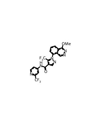 COc1nncc2c(-n3ncc(C(=O)Nc4ccnc(C(F)(F)F)c4)c3C(F)(F)F)cccc12